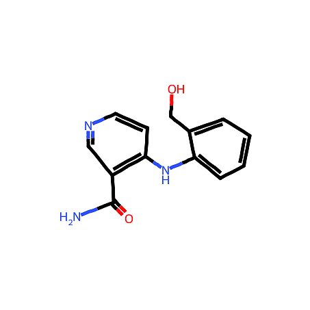 NC(=O)c1cnccc1Nc1ccccc1CO